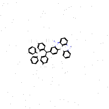 Cc1ccc2c(c1)[Si](c1ccccc1)(c1ccccc1)c1cc(C)ccc1C2c1ccc2c(c1)N(C)c1cccc3c1B2c1ccccc1N3C